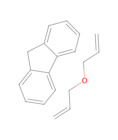 C=CCOCC=C.c1ccc2c(c1)Cc1ccccc1-2